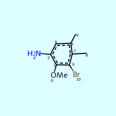 COc1c(N)cc(C)c(C)c1Br